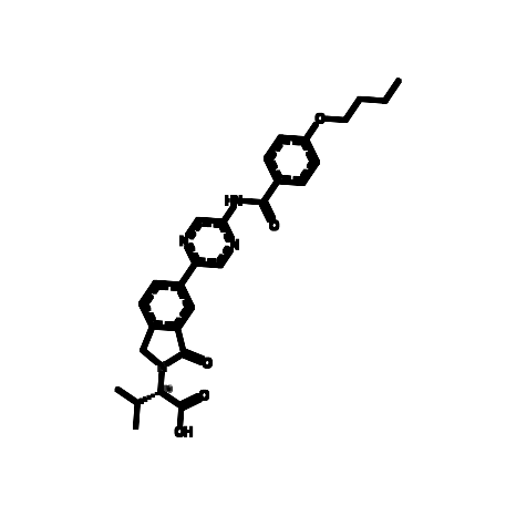 CCCCOc1ccc(C(=O)Nc2cnc(-c3ccc4c(c3)C(=O)N([C@H](C(=O)O)C(C)C)C4)cn2)cc1